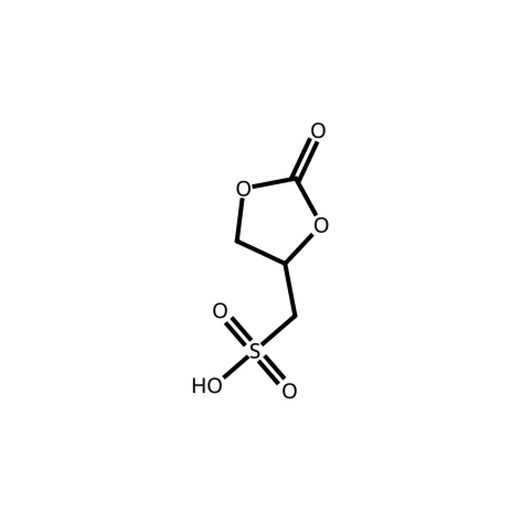 O=C1OCC(CS(=O)(=O)O)O1